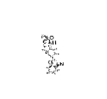 CC(C)S(=O)(=O)NC1CCc2cc(COc3ccccc3C#N)ccc21